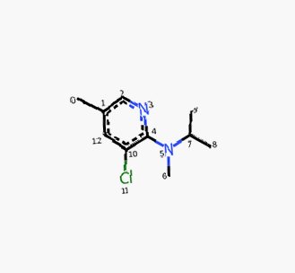 Cc1cnc(N(C)C(C)C)c(Cl)c1